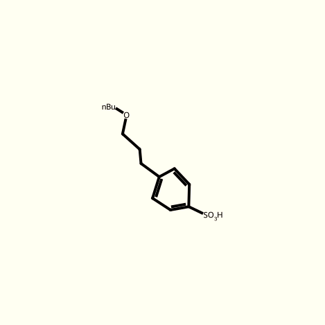 CCCCOCCCc1ccc(S(=O)(=O)O)cc1